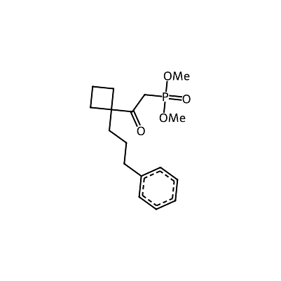 COP(=O)(CC(=O)C1(CCCc2ccccc2)CCC1)OC